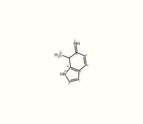 CC1C(=N)C=Cc2cc[nH]c21